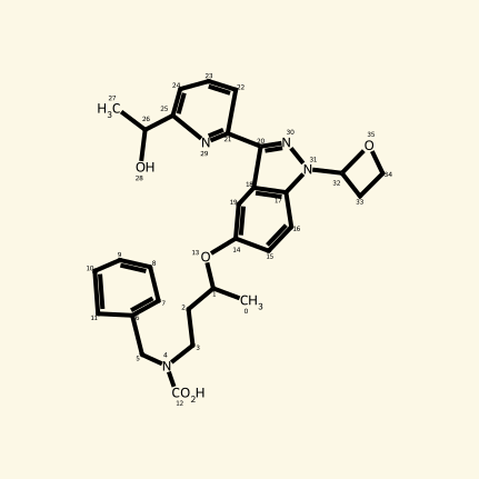 CC(CCN(Cc1ccccc1)C(=O)O)Oc1ccc2c(c1)c(-c1cccc(C(C)O)n1)nn2C1CCO1